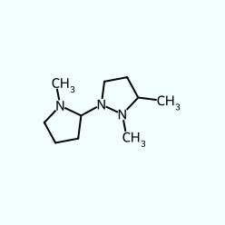 CC1CCN(C2CCCN2C)N1C